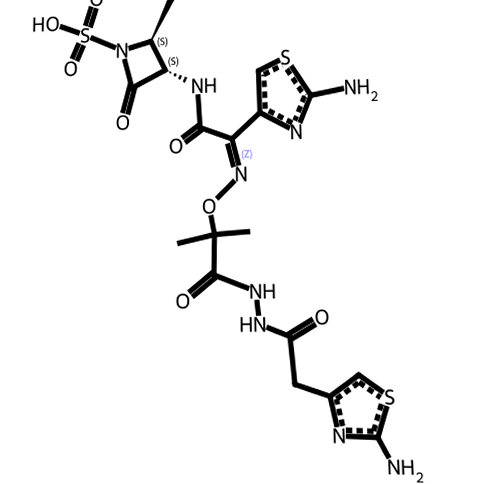 C[C@H]1[C@H](NC(=O)/C(=N\OC(C)(C)C(=O)NNC(=O)Cc2csc(N)n2)c2csc(N)n2)C(=O)N1S(=O)(=O)O